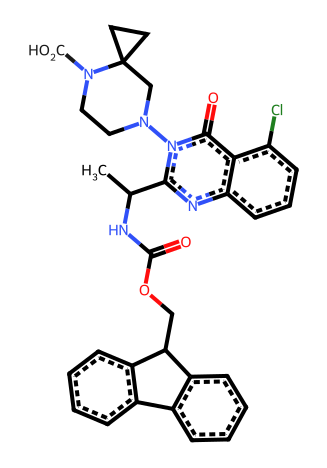 CC(NC(=O)OCC1c2ccccc2-c2ccccc21)c1nc2cccc(Cl)c2c(=O)n1N1CCN(C(=O)O)C2(CC2)C1